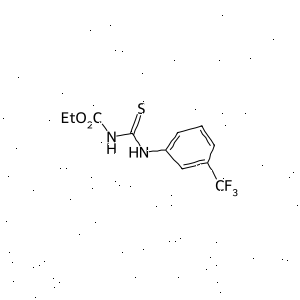 CCOC(=O)NC(=S)Nc1cccc(C(F)(F)F)c1